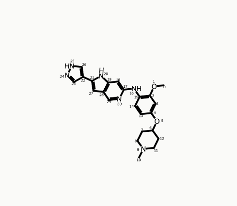 COc1cc(OC2CCN(C)CC2)ccc1Nc1cc2[nH]c(-c3cn[nH]c3)cc2cn1